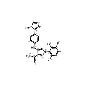 CCn1cnnc1-c1ccc(Nc2cn(-c3c(Cl)ccc(F)c3Cl)nc2C(N)=O)cc1